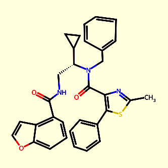 Cc1nc(C(=O)N(Cc2ccccc2)[C@H](CNC(=O)c2cccc3occc23)C2CC2)c(-c2ccccc2)s1